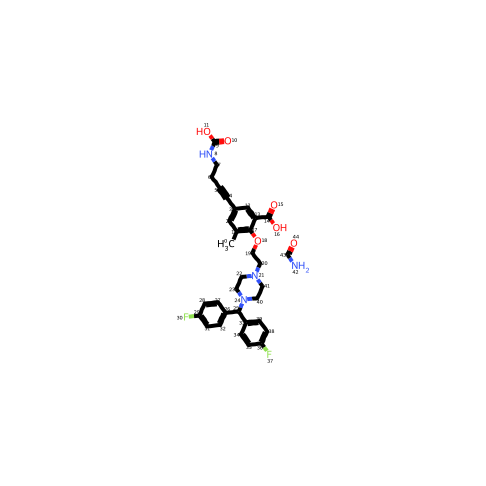 Cc1cc(C#CCCNC(=O)O)cc(C(=O)O)c1OCCN1CCN(C(c2ccc(F)cc2)c2ccc(F)cc2)CC1.NC=O